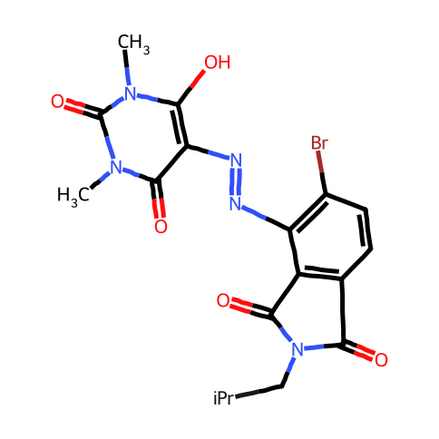 CC(C)CN1C(=O)c2ccc(Br)c(N=Nc3c(O)n(C)c(=O)n(C)c3=O)c2C1=O